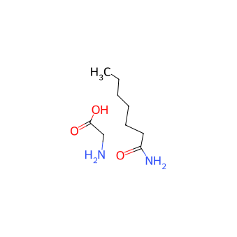 CCCCCCC(N)=O.NCC(=O)O